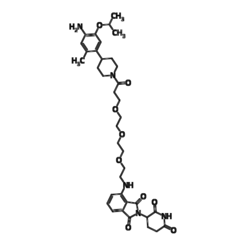 Cc1cc(N)c(OC(C)C)cc1C1CCN(C(=O)CCOCCOCCOCCNc2cccc3c2C(=O)N(C2CCC(=O)NC2=O)C3=O)CC1